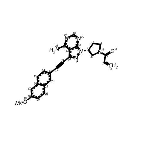 C=CC(=O)N1CC[C@@H](n2nc(C#Cc3ccc4cc(OC)ccc4c3)c3c(N)ncnc32)C1